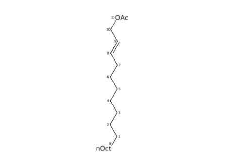 CCCCCCCCCCCCCCC/C=C/COC(C)=O